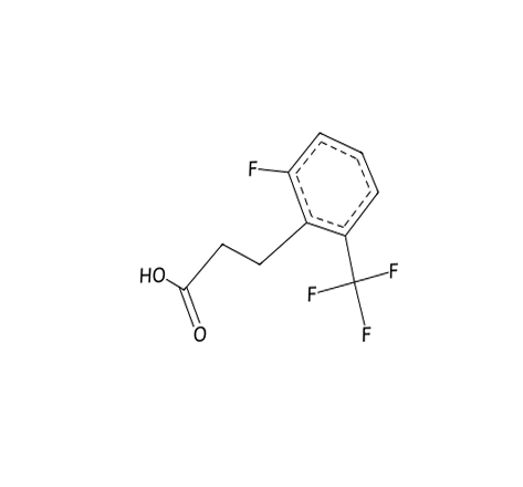 O=C(O)CCc1c(F)cccc1C(F)(F)F